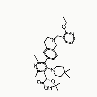 CCOc1ncccc1CN1CCc2cc(-c3c(C)nc(C)c([C@H](OC(C)(C)C)C(=O)O)c3N3CCC(C)(C)CC3)ccc2C1